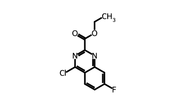 CCOC(=O)c1nc(Cl)c2ccc(F)cc2n1